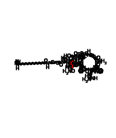 CCCC[C@H](NC(=O)[C@H](CCO)NC(=O)[C@H](Cc1c[nH]cn1)NC(=O)[C@H](CCC(N)=O)NC(=O)[C@H](CO)NC(=O)CNC(=O)COCCOCCNC(=O)CCCCCCCCCCCCCCCc1nnn[nH]1)C(=O)N[C@H]1CCC(=O)NCCCC[C@@H](C(N)=O)NC(=O)[C@H](Cc2c[nH]c3ccccc23)NC(=O)[C@H](CCCNC(=N)N)NC(=O)[C@@H](Cc2ccccc2)NC(=O)[C@@H]2C[C@@H](O)CN2C1=O